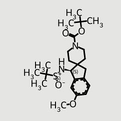 COc1ccc2c(c1)[C@@H](N[S@+]([O-])C(C)(C)C)C1(CCN(C(=O)OC(C)(C)C)CC1)C2